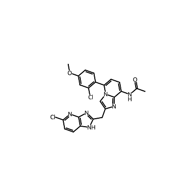 COc1ccc(-c2ccc(NC(C)=O)c3nc(Cc4nc5nc(Cl)ccc5[nH]4)cn23)c(Cl)c1